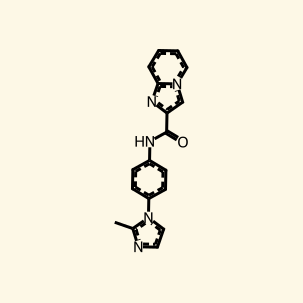 Cc1nccn1-c1ccc(NC(=O)c2cn3ccccc3n2)cc1